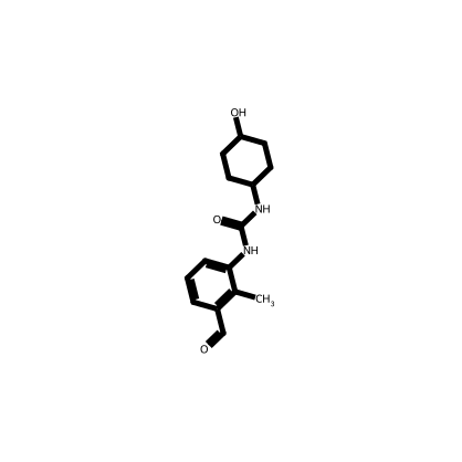 Cc1c(C=O)cccc1NC(=O)NC1CCC(O)CC1